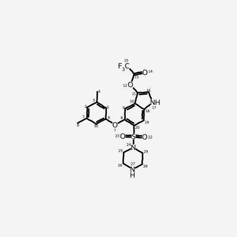 Cc1cc(C)cc(Oc2cc3c(OC(=O)C(F)(F)F)c[nH]c3cc2S(=O)(=O)N2CCNCC2)c1